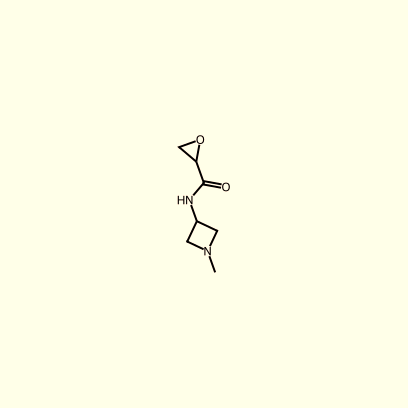 CN1CC(NC(=O)C2CO2)C1